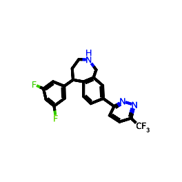 Fc1cc(F)cc(C2CCNCc3cc(-c4ccc(C(F)(F)F)nn4)ccc32)c1